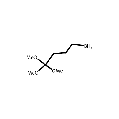 BCCCC(OC)(OC)OC